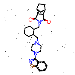 O=C1C2=C3CCC(C3)C2C(=O)N1CC1CCCCC1CN1CCN(c2nsc3ccccc23)CC1